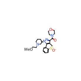 COCCN1CCC[C@@H](n2nc(C(=O)N3CCOCC3)c3c2-c2ccccc2[S+]([O-])C3)C1